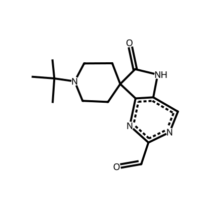 CC(C)(C)N1CCC2(CC1)C(=O)Nc1cnc(C=O)nc12